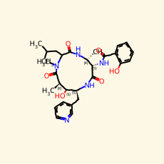 CC(C)CC1C(=O)N[C@H](C)[C@H](NC(=O)c2ccccc2O)C(=O)N[C@@H](Cc2cccnc2)[C@@H](O)[C@@H](C)C(=O)N1C